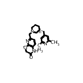 Cc1cc(C[C@H]2CCCN(Cc3ccc4c(n3)OCC(=O)N4)C2)cc(C)n1